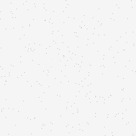 CC(C)(C)c1cc(N2CCN(C(=O)c3ccc(OCC(F)(F)F)nc3)CC2)cc(C(C)(C)C)c1